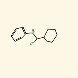 ClC([SiH2]c1ccccc1)C1CCCCC1